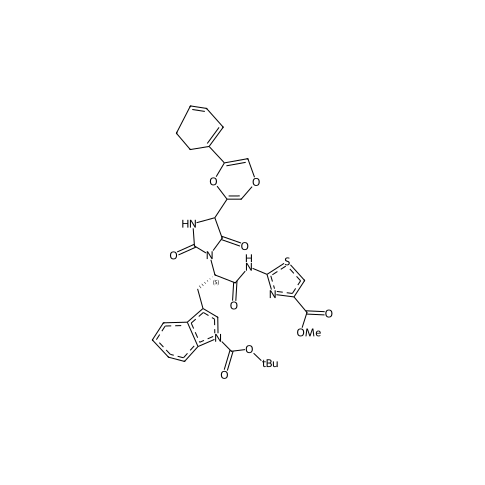 COC(=O)c1csc(NC(=O)[C@H](Cc2cn(C(=O)OC(C)(C)C)c3ccccc23)N2C(=O)NC(C3=COC=C(C4=CC=CCC4)O3)C2=O)n1